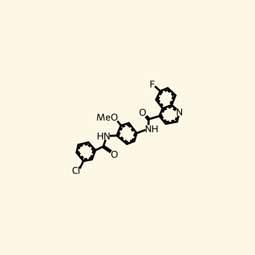 COc1cc(NC(=O)c2ccnc3ccc(F)cc23)ccc1NC(=O)c1cccc(Cl)c1